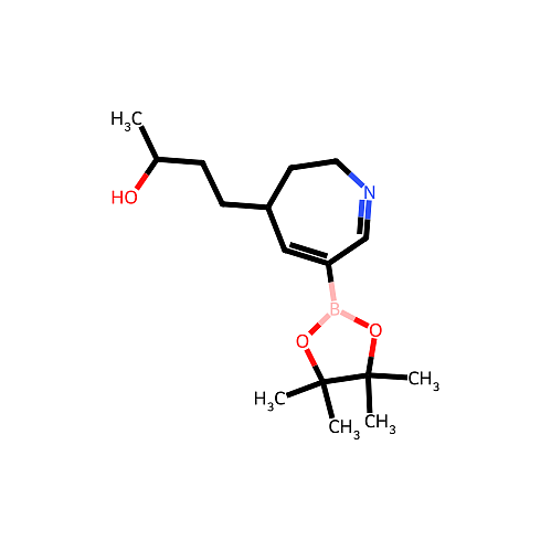 CC(O)CCC1C=C(B2OC(C)(C)C(C)(C)O2)C=NCC1